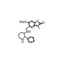 COc1cc2oc(=O)n(C)c2cc1CNC1CCCNC1c1ccccc1